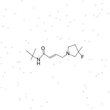 CC1(F)CCN(C/C=C/C(=O)NC(C)(C)C)C1